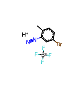 Cc1ccc(Br)cc1[N+]#N.F[B-](F)(F)F.[H+]